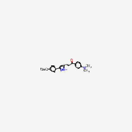 COc1ccc(-c2cc(/C=C/C(=O)c3ccc(N(C)C)cc3)[nH]n2)cc1